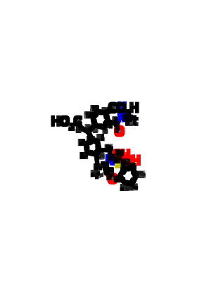 CCNC(=O)c1cc(C(CC(=O)O)c2ccc(C)c(CN3C[C@@H](C)Oc4ccccc4S3(O)O)c2)ccc1C(=O)O